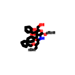 CCCCCCCCCCC[C@H](CC(=O)N[C@@H]1[C@@H](OCCCCC)O[C@H](CO)[C@](O)(Cc2ccccc2)[C@@]1(O)Cc1ccccc1)OCc1ccccc1